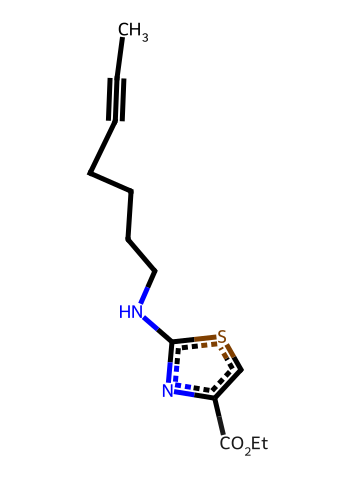 CC#CCCCCNc1nc(C(=O)OCC)cs1